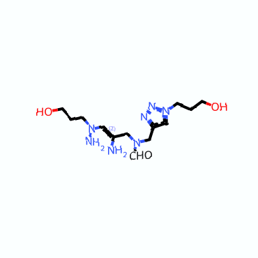 N/C(=C\N(N)CCCO)CN(C=O)Cc1cn(CCCO)nn1